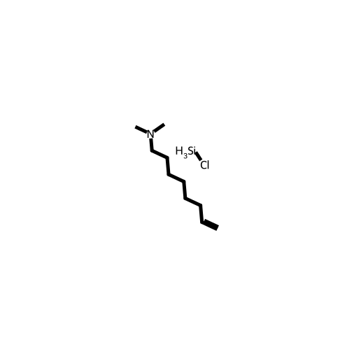 C=CCCCCCCN(C)C.[SiH3]Cl